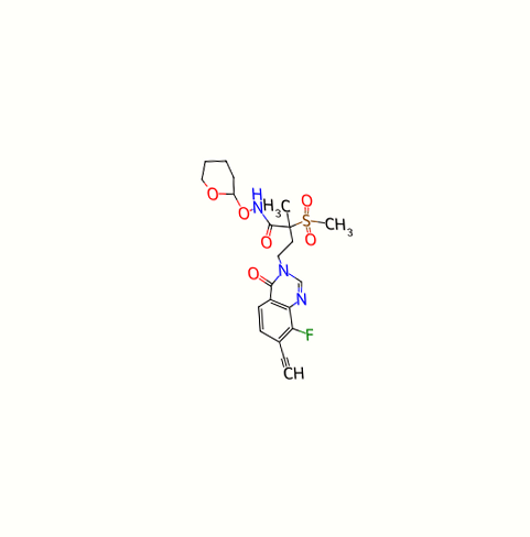 C#Cc1ccc2c(=O)n(CCC(C)(C(=O)NOC3CCCCO3)S(C)(=O)=O)cnc2c1F